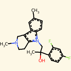 Cc1ccc2c(c1)c1c(n2CC(C)(O)c2ccc(F)cc2F)CCN(C)C1